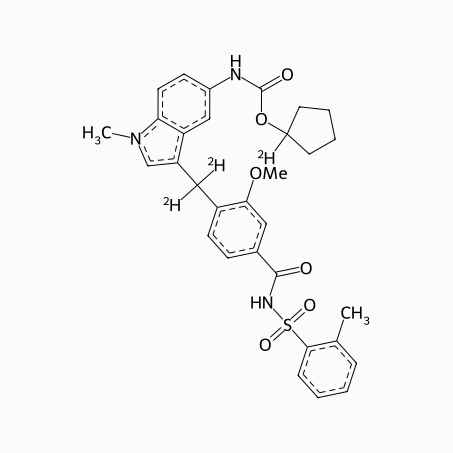 [2H]C1(OC(=O)Nc2ccc3c(c2)c(C([2H])([2H])c2ccc(C(=O)NS(=O)(=O)c4ccccc4C)cc2OC)cn3C)CCCC1